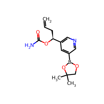 C=CC[C@H](OC(N)=O)c1cncc(B2OCC(C)(C)O2)c1